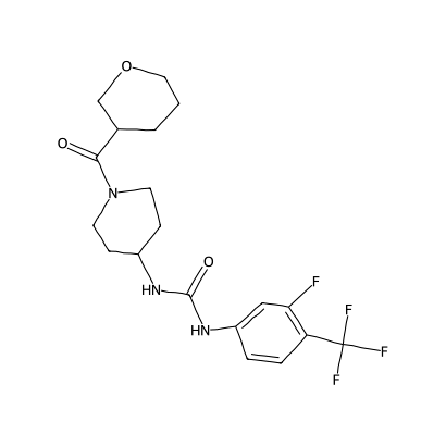 O=C(Nc1ccc(C(F)(F)F)c(F)c1)NC1CCN(C(=O)C2CCCOC2)CC1